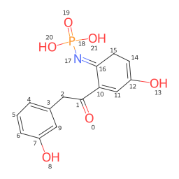 O=C(Cc1cccc(O)c1)C1=CC(O)=CCC1=NP(=O)(O)O